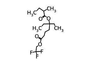 CCC(C)C(=O)OC(CC)(CC)CCCC(=O)OCC(F)(F)F